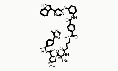 Cc1ncsc1-c1ccc([C@H](C)NC(=O)C2C[C@@H](O)CN2C(=O)[C@@H](NC(=O)CCCNC(=O)c2ccc(C(=O)Nc3cccc(Nc4cc(-c5c[nH]c6ccccc56)ncn4)c3)cc2)C(C)(C)C)cc1